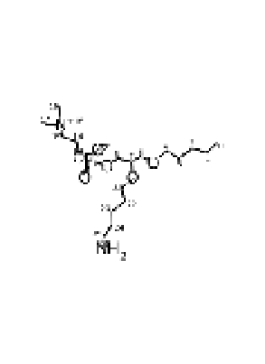 CCCCCOC[C@H](COP(=O)([O-])OCC[N+](C)(C)C)OCCCCCN